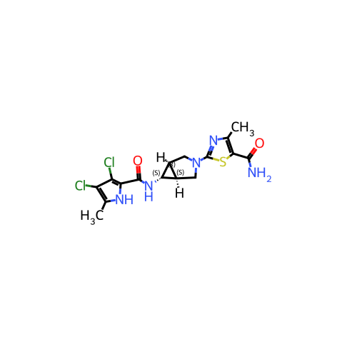 Cc1nc(N2C[C@@H]3[C@H](C2)[C@H]3NC(=O)c2[nH]c(C)c(Cl)c2Cl)sc1C(N)=O